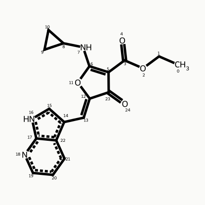 CCOC(=O)C1=C(NC2CC2)OC(=Cc2c[nH]c3ncccc23)C1=O